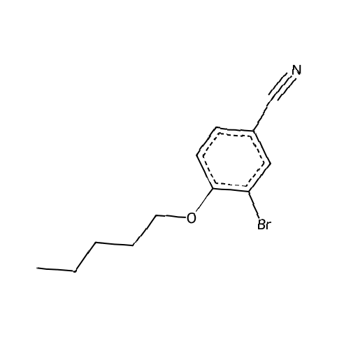 CCCCCOc1ccc(C#N)cc1Br